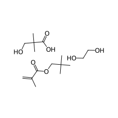 C=C(C)C(=O)OCC(C)(C)C.CC(C)(CO)C(=O)O.OCCO